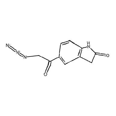 [N-]=[N+]=NCC(=O)c1ccc2c(c1)CC(=O)N2